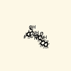 O=C(N[C@@H](CCO)c1ccc(F)cc1)c1cc2c(=O)[nH]c(-c3ccc4ccccc4c3)cn2n1